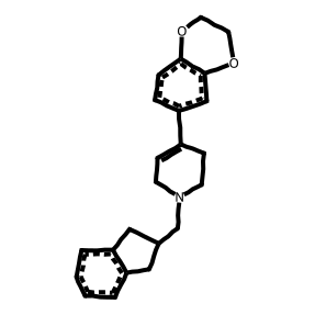 C1=C(c2ccc3c(c2)OCCO3)CCN(CC2Cc3ccccc3C2)C1